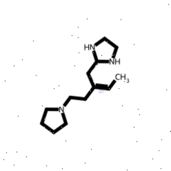 C/C=C(/CCN1CCCC1)CC1NCCN1